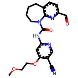 COCCOc1cc(NC(=O)N2CCCCc3ccc(C=O)nc32)ncc1C#N